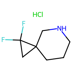 Cl.FC1(F)CC12CCCNC2